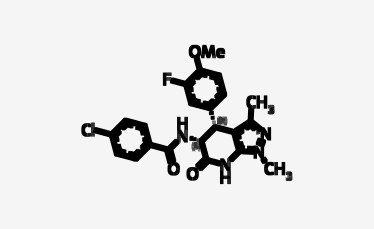 COc1ccc([C@@H]2c3c(C)nn(C)c3NC(=O)[C@@H]2NC(=O)c2ccc(Cl)cc2)cc1F